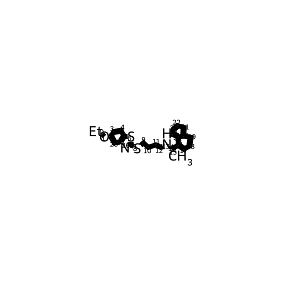 CCOc1ccc2sc(SCCCCN[C@H](C)c3cccc4ccccc34)nc2c1